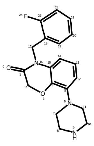 O=C1COc2c(N3CCNCC3)cccc2N1Cc1ccccc1F